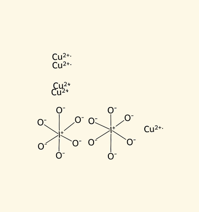 [Cu+2].[Cu+2].[Cu+2].[Cu+2].[Cu+2].[O-][I+]([O-])([O-])([O-])([O-])[O-].[O-][I+]([O-])([O-])([O-])([O-])[O-]